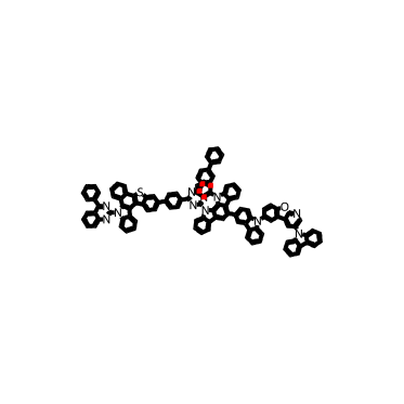 c1ccc(-c2ccc(-c3nc(-c4ccc(-c5ccc6c(c5)sc5c7ccccc7c7c(c8ccccc8n7-c7nc(-c8ccccc8)c8ccccc8n7)c65)cc4)nc(-n4c5ccccc5c5cc(-c6ccc7c(c6)c6ccccc6n7-c6ccc7oc8ncc(-n9c%10ccccc%10c%10ccccc%109)cc8c7c6)c6c7ccccc7n(-c7ccccc7)c6c54)n3)cc2)cc1